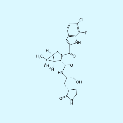 CC1(C)[C@@H]2[C@@H](C(=O)N[C@H](CO)C[C@@H]3CCNC3=O)N(C(=O)c3cc4ccc(Cl)c(F)c4[nH]3)C[C@@H]21